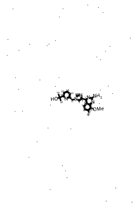 COc1c(F)ccc2c(-c3cn(Cc4cccc(C(C)(C)O)n4)nn3)nc(N)nc12